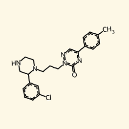 Cc1ccc(-c2cnn(CCCN3CCNCC3c3cccc(Cl)c3)c(=O)n2)cc1